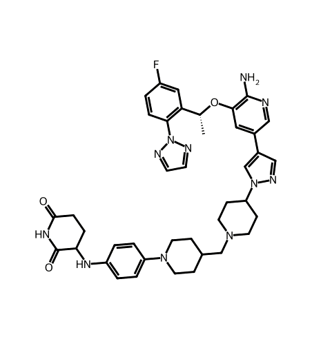 C[C@@H](Oc1cc(-c2cnn(C3CCN(CC4CCN(c5ccc(NC6CCC(=O)NC6=O)cc5)CC4)CC3)c2)cnc1N)c1cc(F)ccc1-n1nccn1